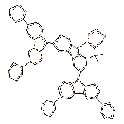 CC1(C)c2cnccc2-n2c3ccc(-n4c5ccc(-c6ccccc6)cc5c5cc(-c6ccccc6)ccc54)cc3c3cc(-n4c5ccc(-c6ccccc6)cc5c5cc(-c6ccccc6)ccc54)cc1c32